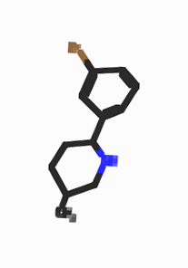 CC1CCC(c2cccc(Br)c2)NC1